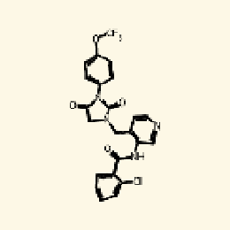 O=C(Nc1cnccc1CN1CC(=O)N(c2ccc(OC(F)(F)F)cc2)C1=O)c1ccccc1Cl